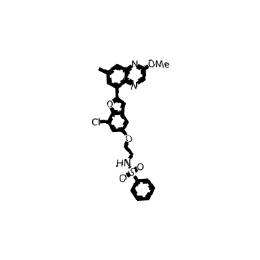 COc1cnc2c(-c3cc4cc(OCCNS(=O)(=O)c5ccccc5)cc(Cl)c4o3)cc(C)cc2n1